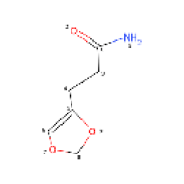 NC(=O)CCC1=COCO1